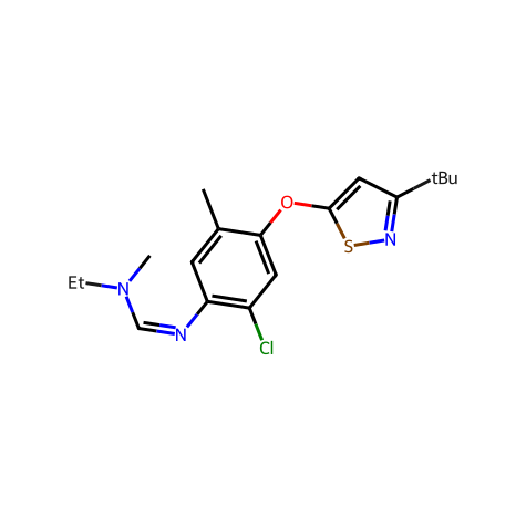 CCN(C)/C=N\c1cc(C)c(Oc2cc(C(C)(C)C)ns2)cc1Cl